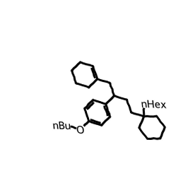 CCCCCCC1(CCC(CC2=CCCCC2)c2ccc(OCCCC)cc2)CCCCC1